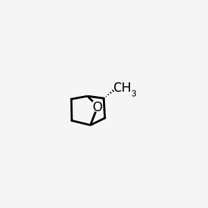 C[C@@H]1CC2CCC1O2